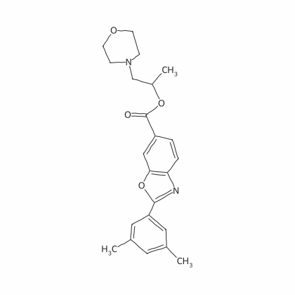 Cc1cc(C)cc(-c2nc3ccc(C(=O)OC(C)CN4CCOCC4)cc3o2)c1